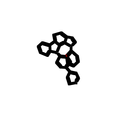 c1ccc(-n2ccc3ccc4c5ccccc5n(-c5ccc(-c6ccncc6)cn5)c4c32)cc1